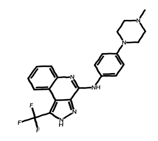 CN1CCN(c2ccc(Nc3nc4ccccc4c4c(C(F)(F)F)[nH]nc34)cc2)CC1